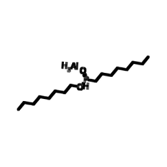 CCCCCCCCO[PH](=O)CCCCCCCC.[AlH3]